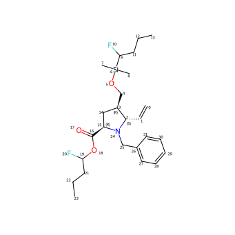 C=C[C@H]1[C@H](CO[Si](C)(C)C(F)CCC)C[C@H](C(=O)OC(F)CCC)N1Cc1ccccc1